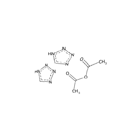 CC(=O)OC(C)=O.c1nnn[nH]1.c1nnn[nH]1